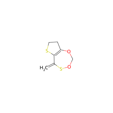 C=C1SOCOC2=C1SCC2